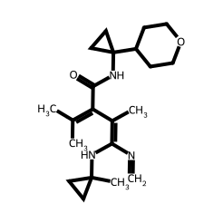 C=N/C(NC1(C)CC1)=C(\C)C(C(=O)NC1(C2CCOCC2)CC1)=C(C)C